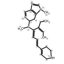 C\C=C(CC)/C(=C\C=C\C1=CCNCC1)N(C)C1Cc2c(ncn2C)C=N1